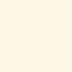 O=P([O-])([O-])OP(=O)([O-])[O-].[Fe+2].[Fe+2]